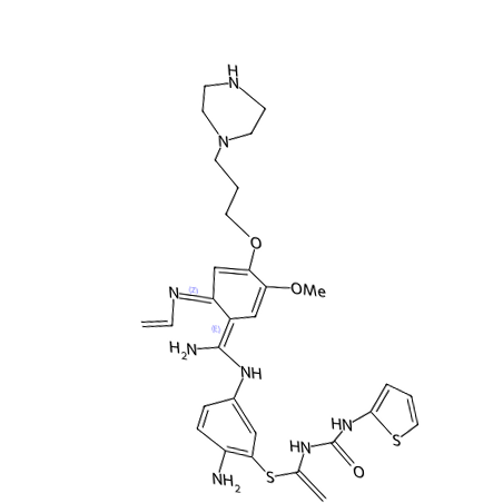 C=C/N=C1/C=C(OCCCN2CCNCC2)C(OC)=C/C1=C(/N)Nc1ccc(N)c(SC(=C)NC(=O)Nc2cccs2)c1